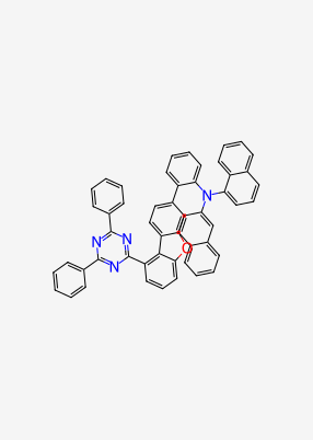 c1ccc(-c2nc(-c3ccccc3)nc(-c3cccc4oc5cc(-c6ccccc6N(c6ccc7ccccc7c6)c6cccc7ccccc67)ccc5c34)n2)cc1